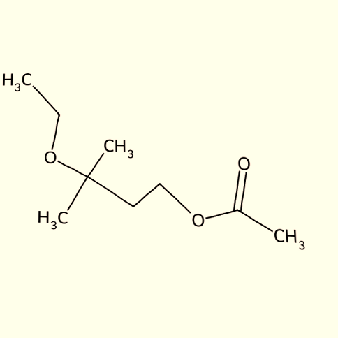 CCOC(C)(C)CCOC(C)=O